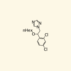 CCCCCCOC(Cn1cncn1)c1ccc(Cl)cc1Cl